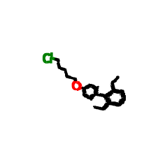 CCc1cccc(CC)c1-c1ccc(OCCCCCCl)cc1